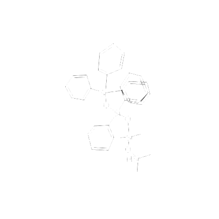 C[SiH](C)O[Si](C)(C)O[Si](O[Si](c1ccccc1)(c1ccccc1)c1ccccc1)(c1ccccc1)c1ccccc1